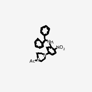 CC(=O)N1CCN(c2ccc([N+](=O)[O-])c(NC(c3ccccc3)c3ccccc3)c2)CC1